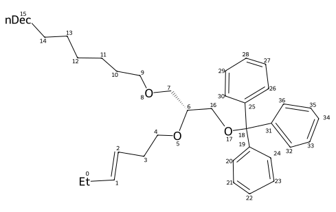 CCC=CCCO[C@H](COCCCCCCCCCCCCCCCC)COC(c1ccccc1)(c1ccccc1)c1ccccc1